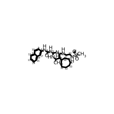 CC1NC(NC(=O)Nc2ccc3ccccc3c2)NC(NCCNS(C)(=O)=O)C1C1CCCCCCC1